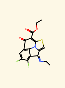 CCN=c1c2c(F)c(F)cc3c(=O)c(C(=O)OCC)c4scc1n4c32